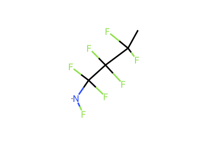 CC(F)(F)C(F)(F)C(F)(F)[N]F